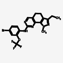 CCc1nn(C)c2c1CCc1cnc(Nc3ccc(Br)cc3OC(F)(F)F)nc1-2